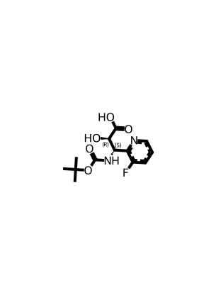 CC(C)(C)OC(=O)N[C@@H](c1ncccc1F)[C@@H](O)C(=O)O